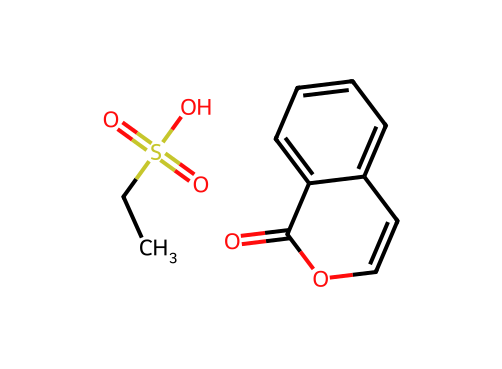 CCS(=O)(=O)O.O=c1occc2ccccc12